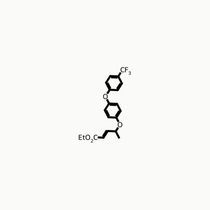 CCOC(=O)C=CC(C)Oc1ccc(Oc2ccc(C(F)(F)F)cc2)cc1